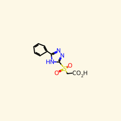 O=C(O)CS(=O)(=O)c1nnc(-c2ccccc2)[nH]1